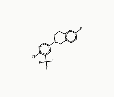 Fc1ccc2c(c1)CCN(c1ccc(Cl)c(C(F)(F)F)c1)C2